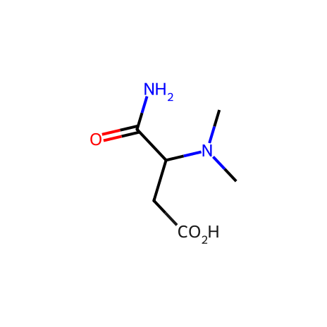 CN(C)C(CC(=O)O)C(N)=O